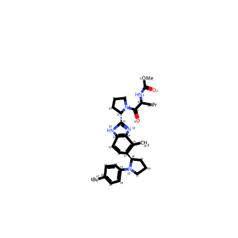 COC(=O)NC(C(=O)N1CCC[C@H]1c1nc2c(C)c([C@H]3CCCN3c3ccc(C(C)(C)C)cc3)ccc2[nH]1)C(C)C